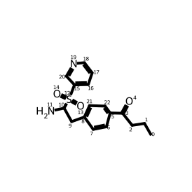 CCCC(=O)c1ccc(CC(N)S(=O)(=O)c2cccnc2)cc1